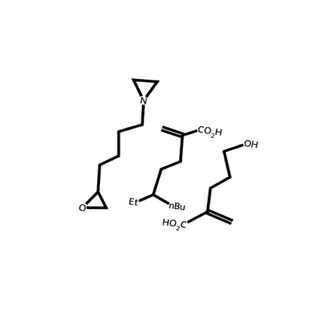 C(CCN1CC1)CC1CO1.C=C(CCC(CC)CCCC)C(=O)O.C=C(CCCO)C(=O)O